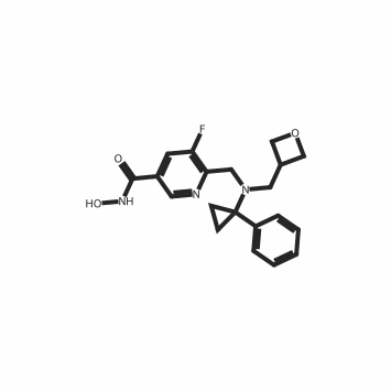 O=C(NO)c1cnc(CN(CC2COC2)C2(c3ccccc3)CC2)c(F)c1